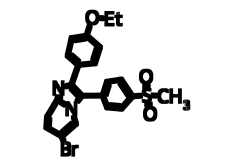 CCOc1ccc(-c2nc3ccc(Br)cn3c2-c2ccc(S(C)(=O)=O)cc2)cc1